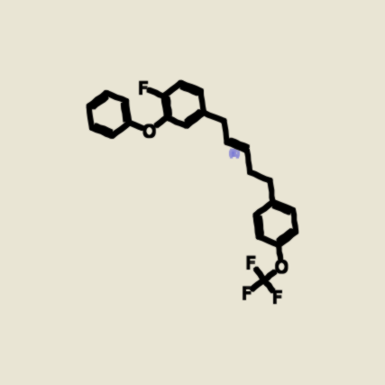 Fc1ccc(C/C=C/CCc2ccc(OC(F)(F)F)cc2)cc1Oc1ccccc1